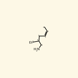 C/C=C\CC(CC)CN